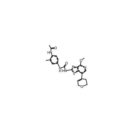 COc1ncc(C2=CCOCC2)c2sc(NC(=O)Nc3ccc(NC(C)=O)c(C)c3)nc12